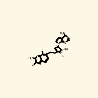 Nc1nc2c(F)c(CCC3=C[C@@H](n4ccc5c(N)ncnc54)[C@H](O)[C@@H]3O)ccc2cc1Cl